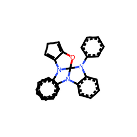 C1=C2OC3(N(c4ccccc4)C2=CC1)N(c1ccccc1)c1ccccc1N3c1ccccc1